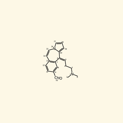 CN(C)CC/C=C1\c2cc(C=O)ccc2C=Cn2cccc21